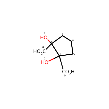 O=C(O)C1(O)CCCC1(O)C(=O)O